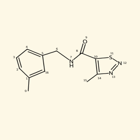 Cc1cccc(CNC(=O)c2snnc2C)c1